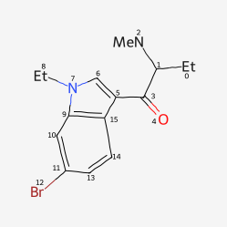 CCC(NC)C(=O)c1cn(CC)c2cc(Br)ccc12